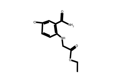 CCOC(=O)CNc1ccc(Cl)cc1C(N)=O